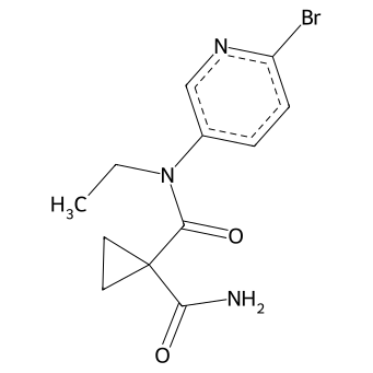 CCN(C(=O)C1(C(N)=O)CC1)c1ccc(Br)nc1